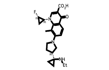 CCNC1([C@@H]2CCN(c3ccc4c(=O)c(C(=O)O)cn([C@@H]5C[C@@H]5F)c4c3C)C2)CC1